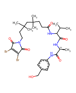 CC(C)C(NC(=O)CCC(C)(C)CC(C)(C)CCN1C(=O)C(Br)=C(Br)C1=O)C(=O)N[C@@H](C)C(=O)Nc1ccc(CO)cc1